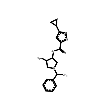 CC1CN(C(C)c2ccccc2)CC1NC(=O)c1cc(C2CC2)on1